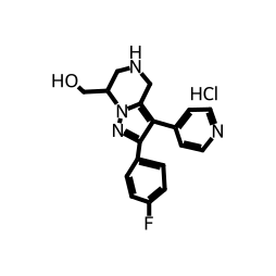 Cl.OCC1CNCc2c(-c3ccncc3)c(-c3ccc(F)cc3)nn21